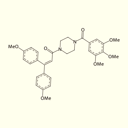 COc1ccc(C(=CC(=O)N2CCN(C(=O)c3cc(OC)c(OC)c(OC)c3)CC2)c2ccc(OC)cc2)cc1